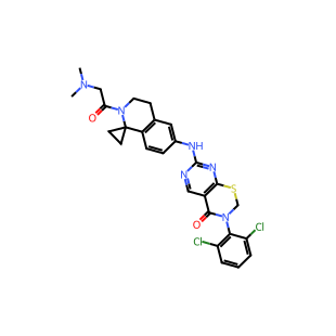 CN(C)CC(=O)N1CCc2cc(Nc3ncc4c(n3)SCN(c3c(Cl)cccc3Cl)C4=O)ccc2C12CC2